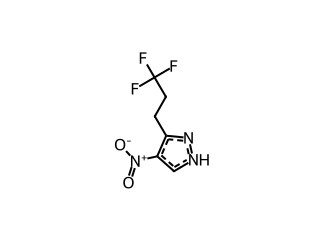 O=[N+]([O-])c1c[nH]nc1CCC(F)(F)F